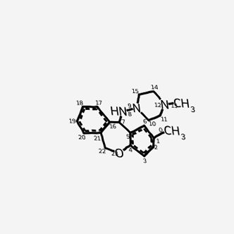 Cc1ccc2c(c1)C(NN1CCN(C)CC1)c1ccccc1CO2